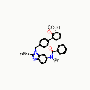 CCCCc1nc2ccc(N(C(=O)c3ccccc3)C(C)C)cc2n1Cc1ccc(-c2ccccc2OC(=O)O)cc1